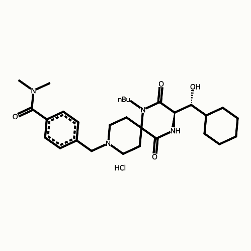 CCCCN1C(=O)[C@@H]([C@H](O)C2CCCCC2)NC(=O)C12CCN(Cc1ccc(C(=O)N(C)C)cc1)CC2.Cl